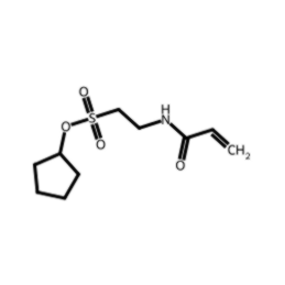 C=CC(=O)NCCS(=O)(=O)OC1CCCC1